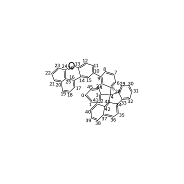 c1ccc(C2(c3cccc(-c4ccc5c(c4)-c4cccc6cccc(c46)O5)c3)c3ccccc3-c3ccc4ccccc4c32)cc1